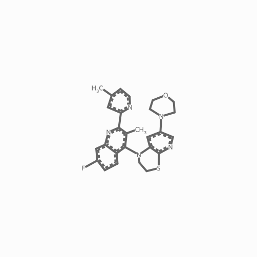 Cc1ccnc(-c2nc3cc(F)ccc3c(N3CCSc4ncc(N5CCOCC5)cc43)c2C)c1